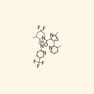 Cc1nc(C(=O)N2CC(F)(F)CC(C)C2CNc2ccc(C(F)(F)F)cn2)c(-c2ncccc2C)s1